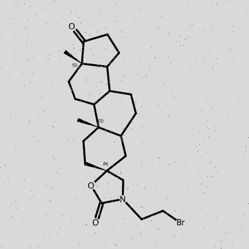 C[C@]12CC[C@@]3(CC1CCC1C2CC[C@]2(C)C(=O)CCC12)CN(CCBr)C(=O)O3